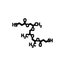 CC(COC(=O)CCS)OCC(C)OCC(C)OC(=O)CCS